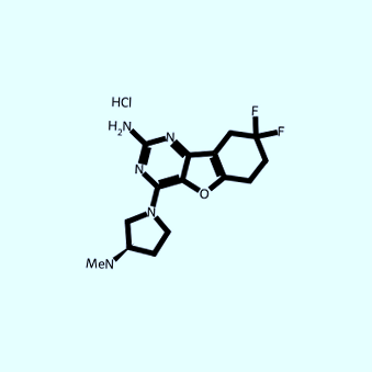 CN[C@@H]1CCN(c2nc(N)nc3c4c(oc23)CCC(F)(F)C4)C1.Cl